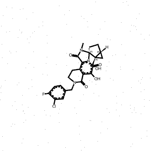 CN1C(=O)c2c3c(c(O)c(=O)n2[C@@]12CC[C@@H]1C[C@@]12CO)C(=O)N(Cc1ccc(F)c(Cl)c1)CC3